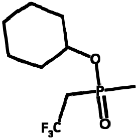 CP(=O)(CC(F)(F)F)OC1CCCCC1